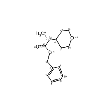 C[C@@H](C(=O)OCc1ccccc1)C1CCOCC1